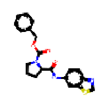 O=C(Nc1ccc2ncsc2c1)C1CCCN1C(=O)OCc1ccccc1